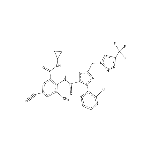 Cc1cc(C#N)cc(C(=O)NC2CC2)c1NC(=O)c1cc(Cn2cc(C(F)(F)F)nn2)nn1-c1ncccc1Cl